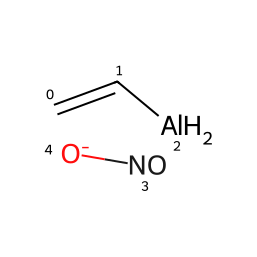 C=[CH][AlH2].O=[NH+][O-]